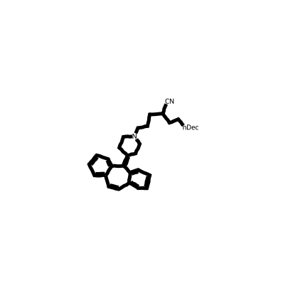 CCCCCCCCCCCCC(C#N)CCCN1CCC(=C2c3ccccc3C=Cc3ccccc32)CC1